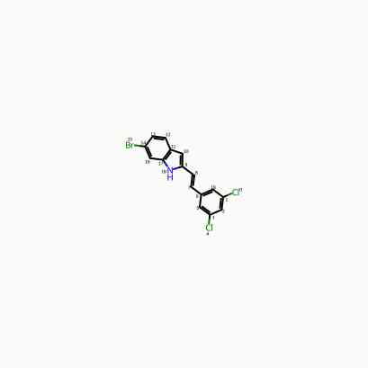 Clc1cc(Cl)cc(C=Cc2cc3ccc(Br)cc3[nH]2)c1